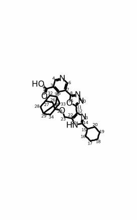 O=C(O)c1cncc(-c2nnc(-c3nc(C4CCCCC4)[nH]c3COC34CC5CC(CC(C5)C3)C4)o2)c1